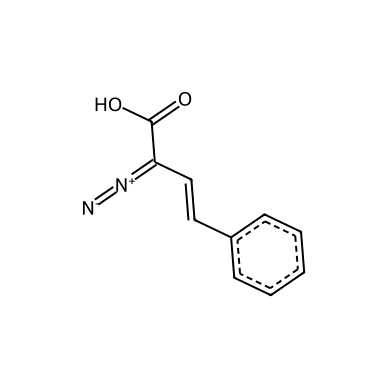 [N-]=[N+]=C(/C=C/c1ccccc1)C(=O)O